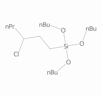 CCCCO[Si](CCC(Cl)CCC)(OCCCC)OCCCC